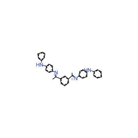 C/C(=N\c1ccc(Nc2ccccc2)cc1)c1cccc(/C(C)=N/c2ccc(Nc3ccccc3)cc2)c1